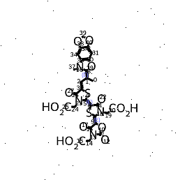 C/C(C=c1s/c(=c2/s/c(=C3/OC(=O)N(CC(=O)O)C3=O)n(CC(=O)O)c2=O)n(CC(=O)O)c1=O)=C1\Oc2cc3c(cc2N1C)OCO3